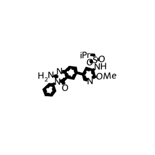 COc1ncc(-c2ccc3nc(N)n(-c4ccccc4)c(=O)c3c2)cc1NS(=O)(=O)CC(C)C